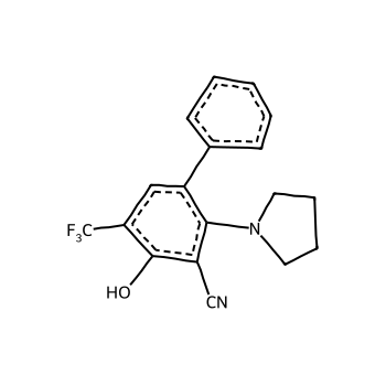 N#Cc1c(O)c(C(F)(F)F)cc(-c2ccccc2)c1N1CCCC1